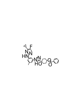 Cc1cc(Nc2ncc(F)c(C3CC3)n2)cc(-n2cnc(C3(O)CCC(OC(=O)c4ccccc4)CC3)c2)c1